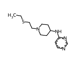 CCSCCN1CCC(Nc2ccncn2)CC1